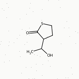 CC(O)C1CCSC1=O